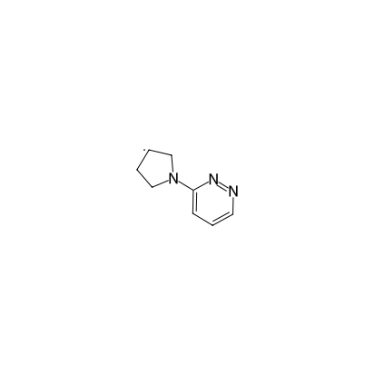 [CH]1CCN(c2cccnn2)C1